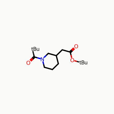 CC(C)(C)OC(=O)CC1CCCN(C(=O)C(C)(C)C)C1